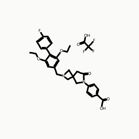 CCOc1cc(CN2CC3(CC(=O)N(c4ccc(C(=O)O)cc4)C3)C2)cc(OCC)c1-c1ccc(F)cc1.O=C(O)C(F)(F)F